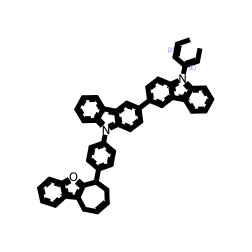 C/C=C\C(=C/C)n1c2ccccc2c2cc(-c3ccc4c(c3)c3ccccc3n4-c3ccc(C4CC=CCc5c4oc4ccccc54)cc3)ccc21